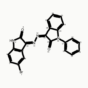 O=C1Nc2ccc(Br)cc2C1=NN=C1C(=O)N(c2ccccc2)c2ccccc21